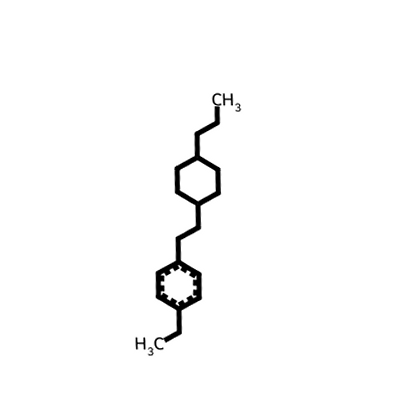 CCCC1CCC(CCc2ccc(CC)cc2)CC1